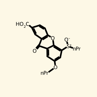 CCCOc1cc([S+]([O-])CCC)c2oc3ccc(C(=O)O)cc3c(=O)c2c1